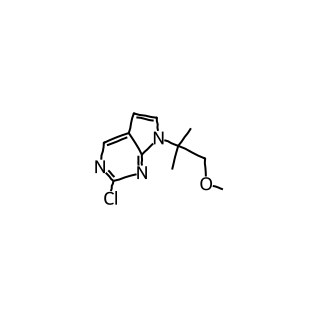 COCC(C)(C)n1ccc2cnc(Cl)nc21